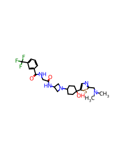 CN(C)Cc1ncc(C2(O)CCC(N3CC(NC(=O)CNC(=O)c4cccc(C(F)(F)F)c4)C3)CC2)s1